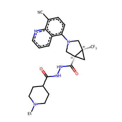 CCN1CCC(C(=O)NNC(=O)[C@]23CN(c4ccc(C#N)c5ncccc45)C[C@@]2(C(F)(F)F)C3)CC1